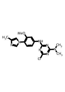 COc1cc(Nc2nc(Cl)nc(N(C)C)n2)ccc1-n1cnc(C)c1